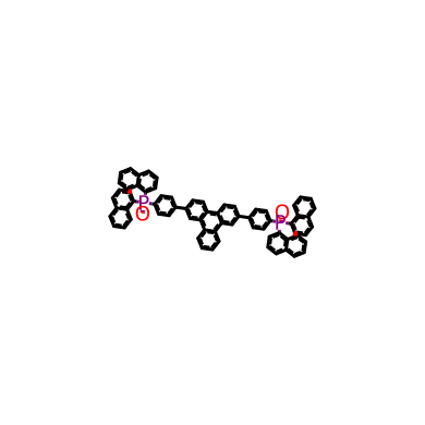 O=P(c1ccc(-c2ccc3c4ccc(-c5ccc(P(=O)(c6cccc7ccccc67)c6cccc7ccccc67)cc5)cc4c4ccccc4c3c2)cc1)(c1cccc2ccccc12)c1cccc2ccccc12